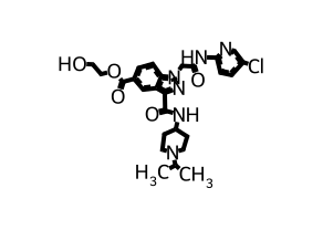 CC(C)N1CCC(NC(=O)c2nn(CC(=O)Nc3ccc(Cl)cn3)c3ccc(C(=O)OCCO)cc23)CC1